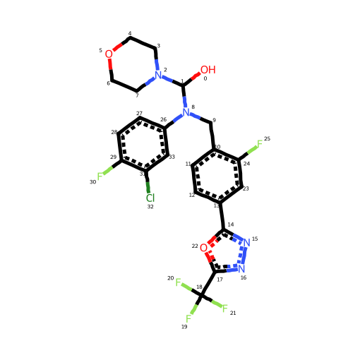 OC(N1CCOCC1)N(Cc1ccc(-c2nnc(C(F)(F)F)o2)cc1F)c1ccc(F)c(Cl)c1